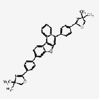 CC1(C)COC(c2ccc(-c3ccc4c(c3)oc3cc(-c5ccc(C6=NC(C)(C)CO6)cc5)c5ccccc5c34)cc2)=N1